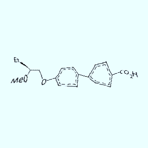 CC[C@@H](COc1ccc(-c2ccc(C(=O)O)cc2)cc1)OC